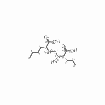 CCCC[C@H](NSN(S)[C@@H](CCC)C(=O)O)C(=O)O